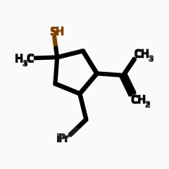 C=C(C)C1CC(C)(S)CC1CC(C)C